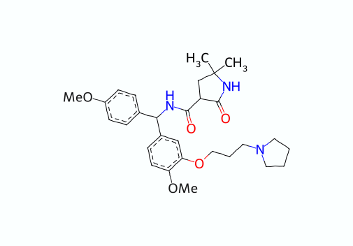 COc1ccc(C(NC(=O)C2CC(C)(C)NC2=O)c2ccc(OC)c(OCCCN3CCCC3)c2)cc1